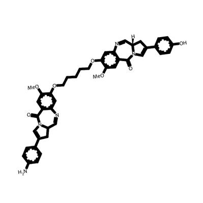 COc1cc2c(cc1OCCCCCOc1cc3c(cc1OC)C(=O)N1C=C(c4ccc(O)cc4)C[C@H]1C=N3)N=CC1CC(c3ccc(N)cc3)=CN1C2=O